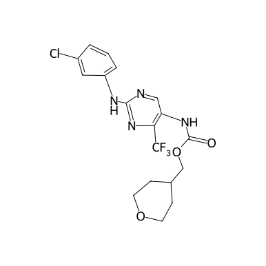 O=C(Nc1cnc(Nc2cccc(Cl)c2)nc1C(F)(F)F)OCC1CCOCC1